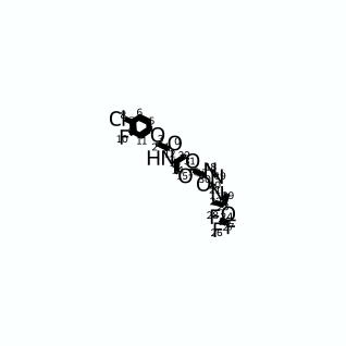 O=C(COc1ccc(Cl)c(F)c1)NC1COC(c2nnc(N3CC(OC(F)(F)F)C3)o2)OC1